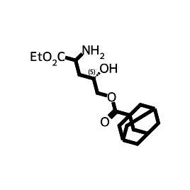 CCOC(=O)C(N)C[C@H](O)COC(=O)C12CC3CC(CC(C3)C1)C2